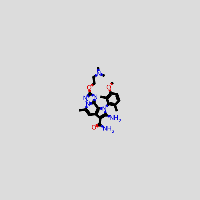 COc1ccc(C)c(-n2c(N)c(C(N)=O)c3cc(C)n4nc(OCCN(C)C)nc4c32)c1C